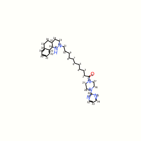 O=C(CCCCCCCCCCN1CCC2CCc3ccccc3C2N1)N1CCN(c2ncccn2)CC1